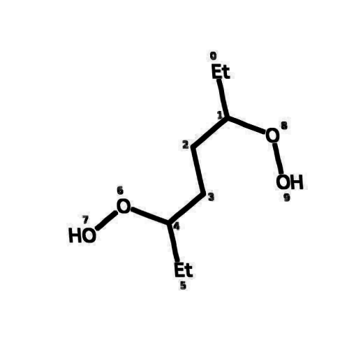 CCC(CCC(CC)OO)OO